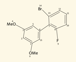 COc1cc(OC)cc(-c2c(F)cccc2Br)c1